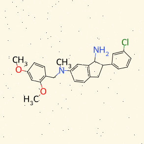 COc1ccc(CN(C)c2ccc3c(c2)C(N)C(c2cccc(Cl)c2)C3)c(OC)c1